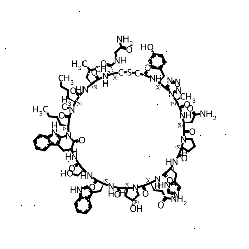 CCCC[C@H]1C(=O)N[C@@H](CC(C)C)C(=O)N[C@H](C(=O)NCC(N)=O)CSCC(=O)N[C@@H](Cc2ccc(O)cc2)c2nnnn2[C@@H](C)C(=O)N[C@@H](CC(N)=O)C(=O)N2CCC[C@H]2C(=O)N[C@@H](Cc2cnc[nH]2)C(=O)N[C@@H](CCC(N)=O)C(=O)N2C[C@H](O)C[C@H]2C(=O)N[C@@H](Cc2c[nH]c3ccccc23)C(=O)N[C@@H](CO)C(=O)N[C@H]2Cc3c([nH]c4ccccc34)N(C2=O)[C@@H](CCCC)C(=O)N1C